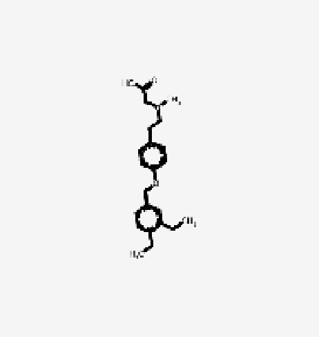 CCc1ccc(COc2ccc(CCN(C)CC(=O)O)cc2)cc1CC